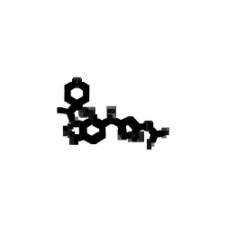 C[C@H](n1nnc2ccc(Nc3cc(OC(F)F)[nH]n3)nc21)C1(O)CCOCC1